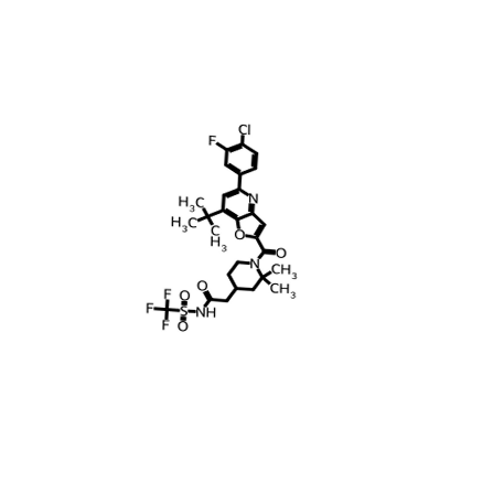 CC(C)(C)c1cc(-c2ccc(Cl)c(F)c2)nc2cc(C(=O)N3CCC(CC(=O)NS(=O)(=O)C(F)(F)F)CC3(C)C)oc12